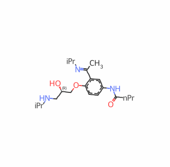 CCCC(=O)Nc1ccc(OC[C@H](O)CNC(C)C)c(C(C)=NC(C)C)c1